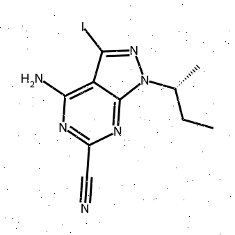 CC[C@@H](C)n1nc(I)c2c(N)nc(C#N)nc21